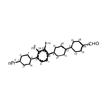 CCCC1CCC(c2ccc(C3CCC(C4CCC(C=O)CC4)CC3)c(F)c2F)CC1